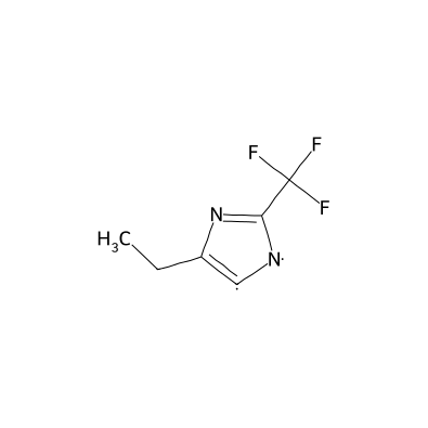 CCC1=[C][N]C(C(F)(F)F)=N1